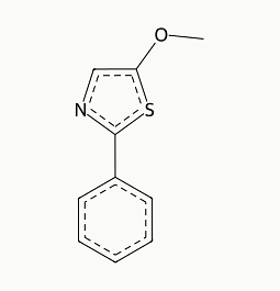 COc1cnc(-c2ccccc2)s1